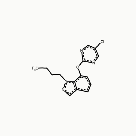 FC(F)(F)CCCn1ncc2cccc(Oc3ncc(Cl)cn3)c21